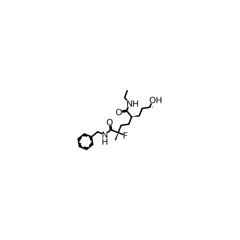 CCNC(=O)[C@@H](CC[CH]O)CC[C@](C)(F)C(=O)NCc1ccccc1